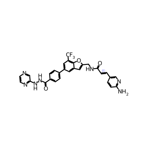 Nc1ccc(/C=C/C(=O)NCc2cc3cc(-c4ccc(C(=O)NNc5cnccn5)cc4)cc(C(F)(F)F)c3o2)cn1